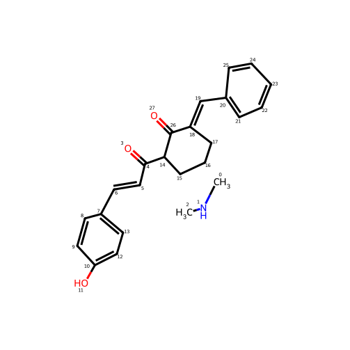 CNC.O=C(C=Cc1ccc(O)cc1)C1CCCC(=Cc2ccccc2)C1=O